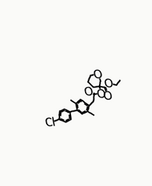 CCOC(=O)C1(OC(=O)Cc2cc(C)c(-c3ccc(Cl)cc3)cc2C)CCCOC1